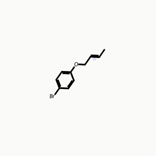 C/C=C/COc1ccc(Br)cc1